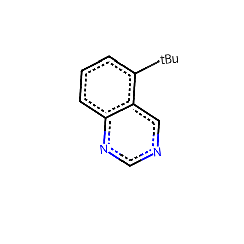 CC(C)(C)c1cccc2ncncc12